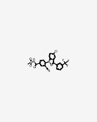 CS(=O)(=O)NC(=O)c1ccc(-n2nc(-c3cccc(C(F)(F)F)c3)c3cc(Cl)ccc32)c(C#N)c1